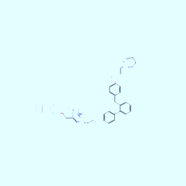 COC(=O)Cc1cn(CCOc2ccc(-c3ccccc3Cc3ccc(OCCN4CCCC4)cc3)cc2)cn1